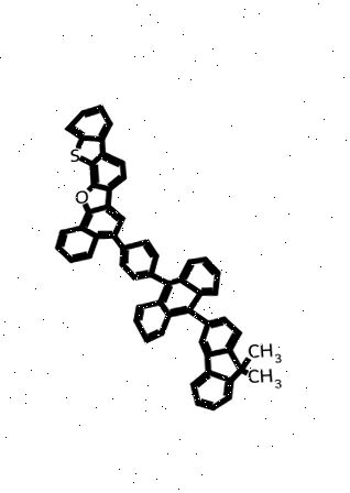 CC1(C)c2ccccc2-c2cc(-c3c4ccccc4c(-c4ccc(-c5cc6c7ccc8c9ccccc9sc8c7oc6c6ccccc56)cc4)c4ccccc34)ccc21